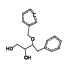 OCC(O)C(Cc1ccccc1)OCc1ccccc1